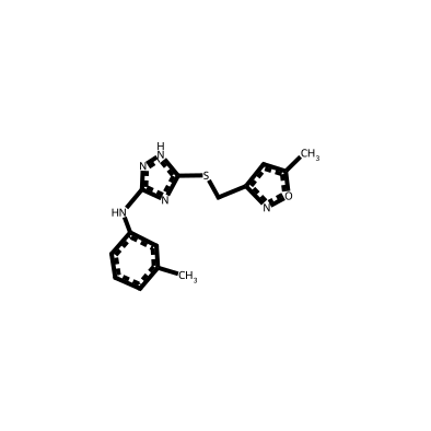 Cc1cccc(Nc2n[nH]c(SCc3cc(C)on3)n2)c1